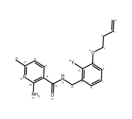 C=CCCOc1cccc(CNC(=O)c2ccc(C)nc2N)c1F